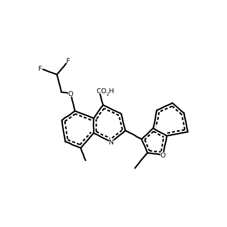 Cc1oc2ccccc2c1-c1cc(C(=O)O)c2c(OCC(F)F)ccc(C)c2n1